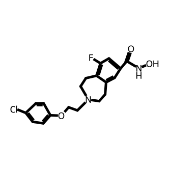 O=C(NO)c1cc(F)c2c(c1)CCN(CCOc1ccc(Cl)cc1)CC2